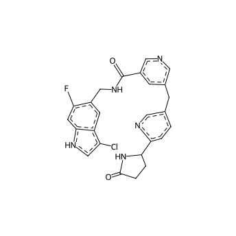 O=C1CCC(c2ccc(Cc3cncc(C(=O)NCc4cc5c(Cl)c[nH]c5cc4F)c3)cn2)N1